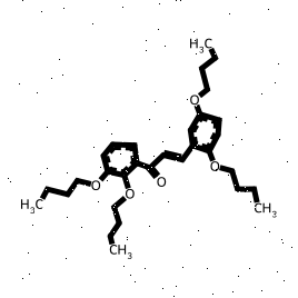 CCCCOc1ccc(OCCCC)c(C=CC(=O)c2cccc(OCCCC)c2OCCCC)c1